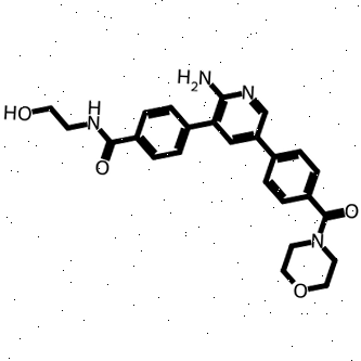 Nc1ncc(-c2ccc(C(=O)N3CCOCC3)cc2)cc1-c1ccc(C(=O)NCCO)cc1